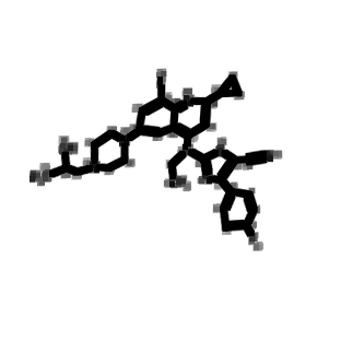 CCN(c1nc(-c2ccc(F)cc2)c(C#N)s1)c1cc(C2CC2)nc2c(F)cc(N3CCN(CC(C)O)CC3)cc12